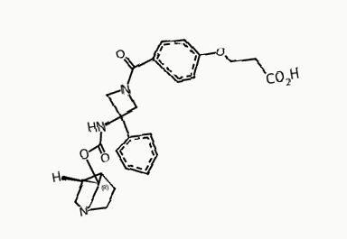 O=C(O)CCOc1ccc(C(=O)N2CC(NC(=O)O[C@H]3CN4CCC3CC4)(c3ccccc3)C2)cc1